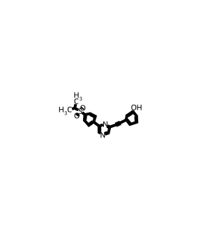 CC(C)S(=O)(=O)c1ccc(-c2cncc(C#Cc3cccc(O)c3)n2)cc1